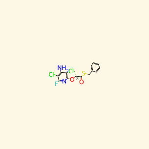 C[C@@H](Oc1nc(F)c(Cl)c(N)c1Cl)C(=O)SCc1ccccc1